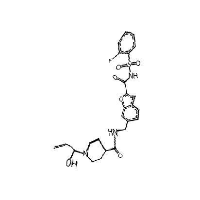 C=CC(O)N1CCC(C(=O)NCc2ccc3cc(C(=O)NS(=O)(=O)c4ccccc4F)oc3c2)CC1